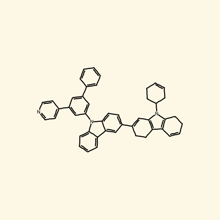 C1=Cc2c3c(n(C4CC=CCC4)c2CC1)C=C(c1ccc2c(c1)c1ccccc1n2-c1cc(-c2ccccc2)cc(-c2ccncc2)c1)CC3